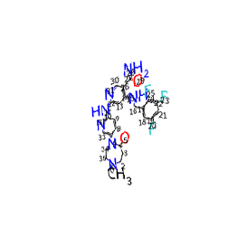 CN1CCC(=O)N(c2ccc(Nc3cc(NCc4cc(F)cc(F)c4F)c(C(N)=O)cn3)nc2)CC1